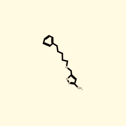 Cc1cc(COCCCCCc2ccccc2)on1